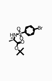 C[C@@H](NS(=O)(=O)c1ccc(Br)cc1)C(=O)OC(C)(C)C